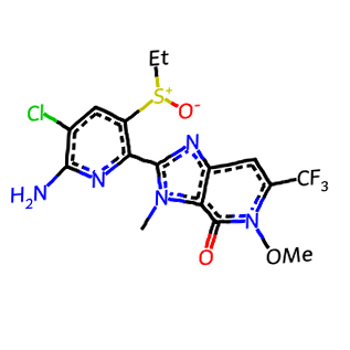 CC[S+]([O-])c1cc(Cl)c(N)nc1-c1nc2cc(C(F)(F)F)n(OC)c(=O)c2n1C